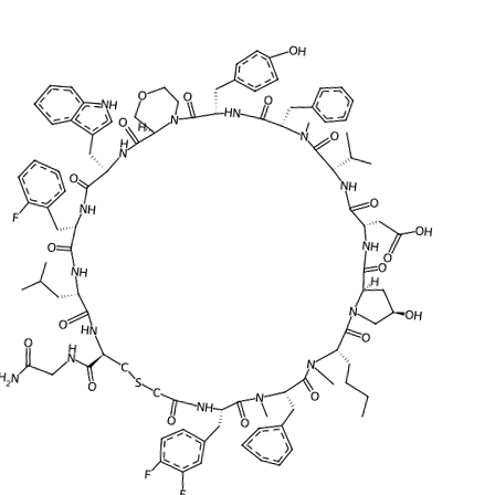 CCCC[C@H]1C(=O)N2C[C@H](O)C[C@@H]2C(=O)N[C@@H](CC(=O)O)C(=O)N[C@@H](C(C)C)C(=O)N(C)[C@@H](Cc2ccccc2)C(=O)N[C@@H](Cc2ccc(O)cc2)C(=O)N2CCOC[C@@H]2C(=O)N[C@@H](Cc2c[nH]c3ccccc23)C(=O)N[C@@H](Cc2ccccc2F)C(=O)N[C@@H](CC(C)C)C(=O)N[C@H](C(=O)NCC(N)=O)CSCC(=O)N[C@@H](Cc2ccc(F)c(F)c2)C(=O)N(C)[C@@H](Cc2ccccc2)C(=O)N1C